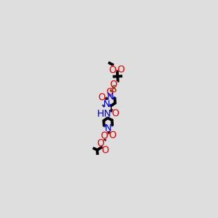 CCOC(=O)C(C)(C)COSON1CC[C@@H](C(=O)NC2CCN(C(=O)OCOC(=O)C(C)C)CC2)N(C)C1=O